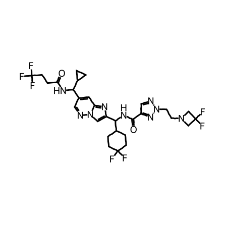 O=C(CCC(F)(F)F)NC(c1cnn2cc(C(NC(=O)c3cnn(CCN4CC(F)(F)C4)n3)C3CCC(F)(F)CC3)nc2c1)C1CC1